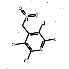 O=[SH](=O)Cc1c(Cl)c(Cl)nc(Cl)c1Cl